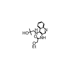 CCOCC(=O)Nc1cnc2ccccc2c1NCC(C)(C)O